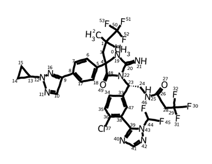 CC(C)(CC1(c2ccc(-c3cnn(C4CC4)n3)cc2)NC(=N)N([C@H](CNC(=O)CC(F)(F)F)c2ccc(Cl)c(-c3ncnn3C(F)F)c2)C1=O)C(F)(F)F